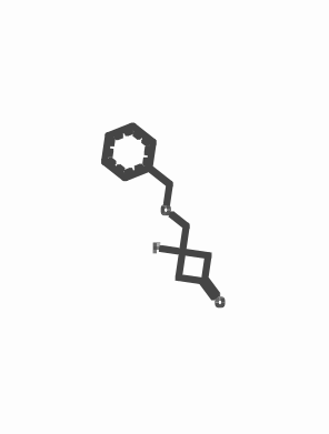 O=C1CC(F)(COCc2ccccc2)C1